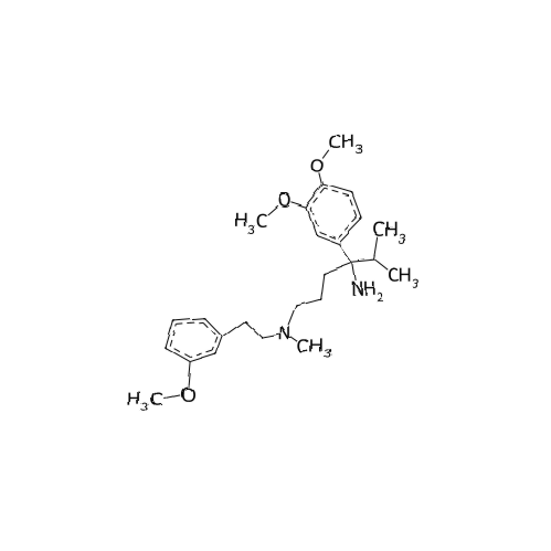 COc1cccc(CCN(C)CCCC(N)(c2ccc(OC)c(OC)c2)C(C)C)c1